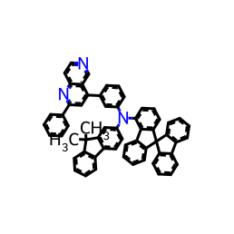 CC1(C)c2ccccc2-c2ccc(N(c3cccc(-c4cc(-c5ccccc5)nc5ccncc45)c3)c3cccc4c3-c3ccccc3C43c4ccccc4-c4ccccc43)cc21